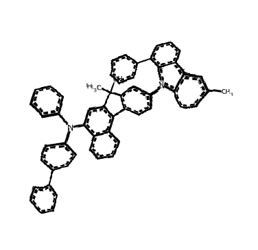 Cc1ccc2c(c1)c1cccc(-c3ccccc3)c1n2-c1ccc2c(c1)C(C)(C)c1cc(N(c3ccccc3)c3ccc(-c4ccccc4)cc3)c3ccccc3c1-2